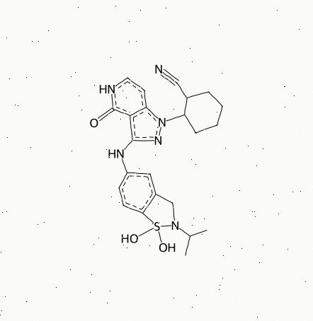 CC(C)N1Cc2cc(Nc3nn(C4CCCCC4C#N)c4cc[nH]c(=O)c34)ccc2S1(O)O